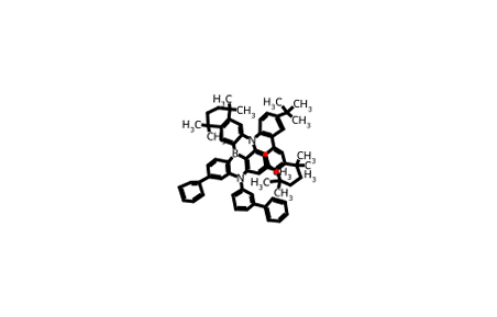 Cc1cc2c3c(c1)N(c1ccc(C(C)(C)C)cc1-c1ccc4c(c1)C(C)(C)CCC4(C)C)c1cc4c(cc1B3c1ccc(-c3ccccc3)cc1N2c1cccc(-c2ccccc2)c1)C(C)(C)CCC4(C)C